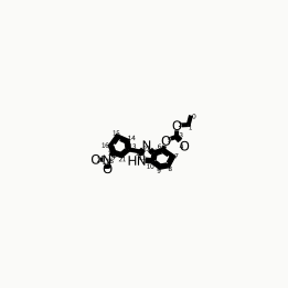 CCOC(=O)Oc1cccc2[nH]c(-c3cccc([N+](=O)[O-])c3)nc12